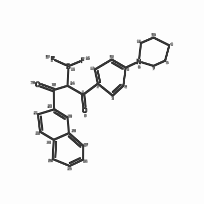 O=C(c1ccc(N2CCCCC2)cc1)C(B(F)F)C(=O)c1ccc2ccccc2c1